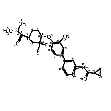 C[C@H](O)C(=O)N1CC[C@H](Oc2ccc(-c3ccnc(NC(=O)C4CC4)c3)cc2C#N)C(F)(F)C1